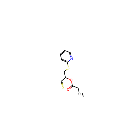 CCC(=O)OC([C]=S)CSc1ccccn1